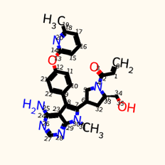 C=CC(=O)N1CC(c2c(-c3ccc(Oc4cccc(C)n4)cc3)c3c(N)ncnc3n2C)C[C@@H]1CO